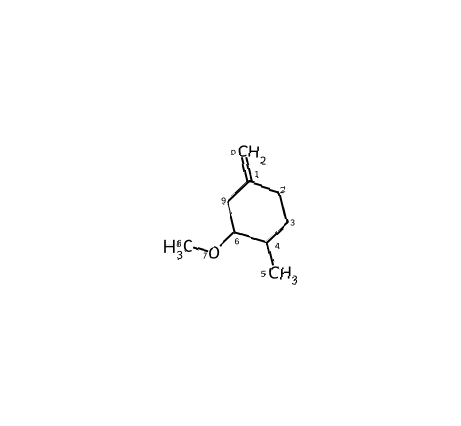 C=C1CCC(C)C(OC)C1